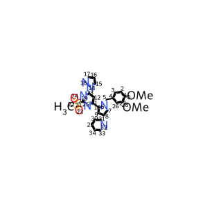 COc1ccc(Cn2cccc2-c2cc(-n3cccn3)nc(S(C)(=O)=O)n2)cc1OC.c1ccncc1